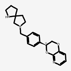 c1cnc2c(c1)OC[C@H](c1ccc(CN3CCC4(CCCN4)C3)cc1)O2